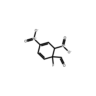 O=[C]C1(F)C=CC([N+](=O)[O-])=CC1[N+](=O)[O-]